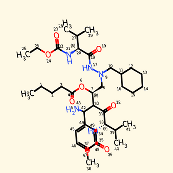 CCCCC(=O)O[C@@H](CN(CC1CCCCC1)NC(=O)[C@@H](NC(=O)OCC)C(C)C)C(C(=O)[C@@H](NC(=O)OC)C(C)C)C(N)c1ccccc1